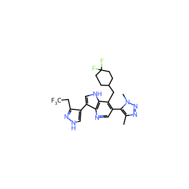 Cc1nnn(C)c1-c1cnc2c(-c3c[nH]nc3CC(F)(F)F)c[nH]c2c1CC1CCC(F)(F)CC1